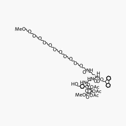 COCCOCCOCCOCCOCCOCCOCCOCCOCCOCCOCCOCCC(=O)NCCCC[C@H](NC(=O)OCC1c2ccccc2-c2ccccc21)C(=O)NCCC(=O)Nc1cc(CO)ccc1O[C@@H]1O[C@H](C(=O)OC)[C@@H](OC(C)=O)[C@H](OC(C)=O)[C@H]1OC(C)=O